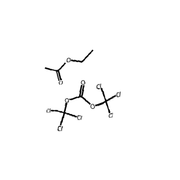 CCOC(C)=O.O=C(OC(Cl)(Cl)Cl)OC(Cl)(Cl)Cl